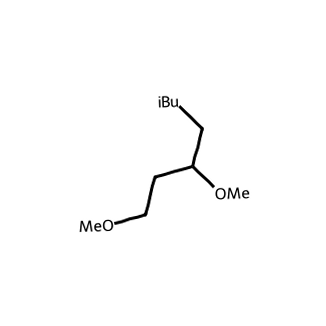 CCC(C)CC(CCOC)OC